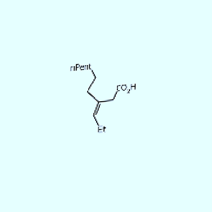 CCC=C(CCCCCCC)CC(=O)O